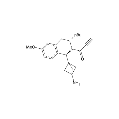 C#CC(=O)N1[C@@H](CCCC)Cc2cc(OC)ccc2[C@@H]1C12CC(N)(C1)C2